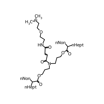 CCCCCCCCCC(CCCCCCC)C(=O)OCCCN(CCCOC(=O)C(CCCCCCC)CCCCCCCCC)C(=O)C=CC(=O)NCCOCCN(C)C